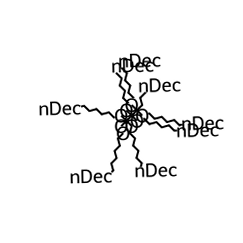 CCCCCCCCCCCCCCCCOOC(OCCCCCCCCCCCCCCCC)(OCCCCCCCCCCCCCCCC)C(OCCCCCCCCCCCCCCCC)(OCCCCCCCCCCCCCCCC)C(CCCCCCCCCCCCC)(OCCCCCCCCCCCCCCCC)OCCCCCCCCCCCCCCCC